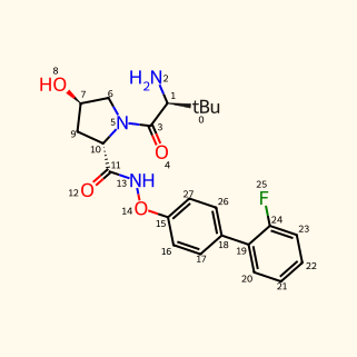 CC(C)(C)[C@H](N)C(=O)N1C[C@H](O)C[C@H]1C(=O)NOc1ccc(-c2ccccc2F)cc1